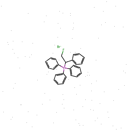 FCC(c1ccccc1)[P+](c1ccccc1)(c1ccccc1)c1ccccc1.[Br-]